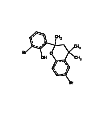 CC1(C)CC(C)(c2cccc(Br)c2O)Oc2ccc(Br)cc21